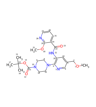 COCc1cnc(N2CCN(C(=O)OC(C)(C)C)CC2)c(NC(=O)c2cccnc2OC)c1